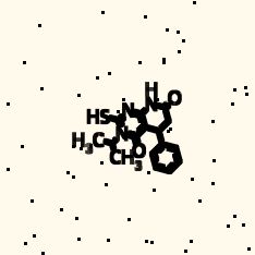 CC(C)n1c(S)nc2c(c1=O)C(c1ccccc1)CC(=O)N2